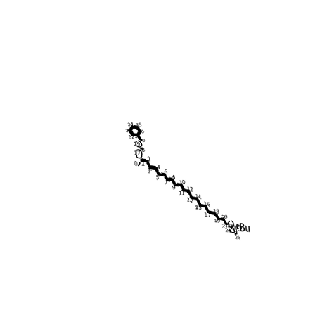 C[C@H](C/C=C/CC/C=C/CCCCCCCCCCCCCO[Si](C)(C)C(C)(C)C)OCOCc1ccccc1